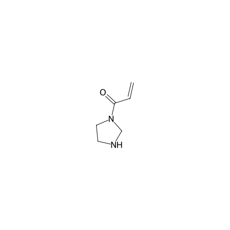 C=CC(=O)N1CCNC1